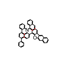 c1ccc(-c2ccc(-c3ccccc3N(c3ccccc3-c3cccc4c3oc3cc5ccccc5cc34)c3cccc4ccccc34)cc2)cc1